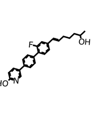 CC(O)CCCC=Cc1ccc(-c2ccc(-c3ccc(O)nc3)cc2)c(F)c1